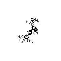 C[C@@H]1CN(c2ccc(-c3cc(OCC(C)(C)O)cn4ncc(C#N)c34)cn2)C[C@H](C)[C@H]1N